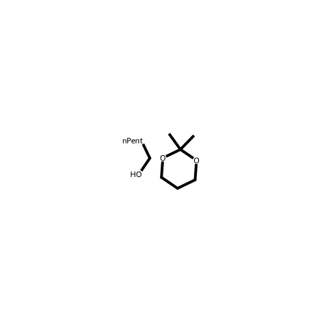 CC1(C)OCCCO1.CCCCCCO